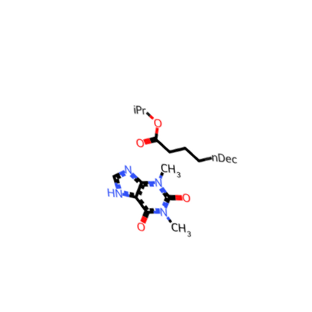 CCCCCCCCCCCCCC(=O)OC(C)C.Cn1c(=O)c2[nH]cnc2n(C)c1=O